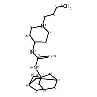 CCCCN1CCC(NC(=O)NC23CC4CC(CC(C4)C2)C3)CC1